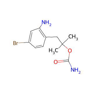 CC(C)(Cc1ccc(Br)cc1N)OC(N)=O